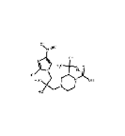 CC(O)(CN1CCN(C(=O)O)[C@H](C(C)(C)C)C1)Cn1cc([N+](=O)[O-])nc1Cl